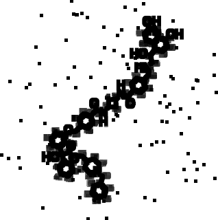 O=C(NC1CC(NC(=O)c2ccc(COc3cccc([C@](O)(C(=O)OCC4CCN(Cc5ccccc5)CC4)c4ccccc4)c3)cc2)C1)c1ccc(CNC[C@H](O)c2ccc(O)c3[nH]c(=O)ccc23)cc1